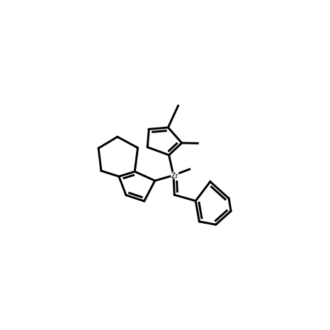 CC1=CC[C]([Zr]([CH3])(=[CH]c2ccccc2)[CH]2C=CC3=C2CCCC3)=C1C